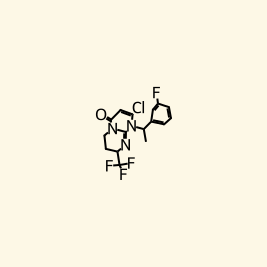 CC(c1cccc(F)c1)N1C(Cl)=CC(=O)N2CCC(C(F)(F)F)N=C21